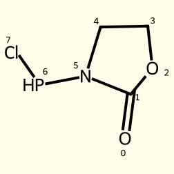 O=C1OCCN1PCl